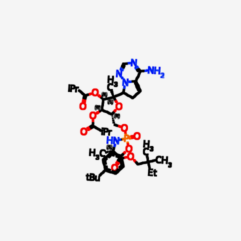 CCC(C)(C)COC(=O)[C@H](C)NP(=O)(OC[C@H]1O[C@@](C)(C2CC=C3C(N)=NC=NN32)[C@H](OC(=O)C(C)C)[C@@H]1OC(=O)C(C)C)Oc1ccc(C(C)(C)C)cc1